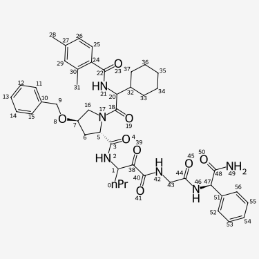 CCCC(NC(=O)[C@@H]1C[C@@H](OCc2ccccc2)CN1C(=O)C(NC(=O)c1ccc(C)cc1C)C1CCCCC1)C(=O)C(=O)NCC(=O)N[C@@H](C(N)=O)c1ccccc1